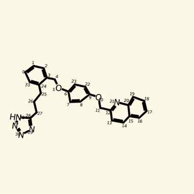 c1ccc(COc2ccc(OCc3ccc4ccccc4n3)cc2)c(CCCc2nnn[nH]2)c1